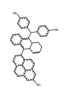 CC(C)(C)c1ccc(N(C2=c3ccccc3=C(c3ccc4ccc5cc(C(C)(C)C)cc6ccc3c4c56)C3C=CCCC23)c2ccc(C(C)(C)C)cc2)cc1